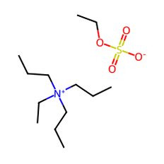 CCC[N+](CC)(CCC)CCC.CCOS(=O)(=O)[O-]